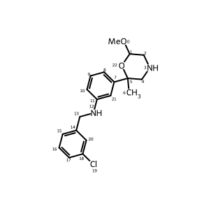 COC1CNCC(C)(c2cccc(NCc3cccc(Cl)c3)c2)O1